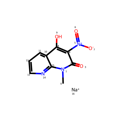 Cn1c(=O)c([N+](=O)[O-])c(O)c2cccnc21.[Na+]